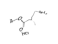 CC(C)OC(=O)[C@@H](C)CN.Cl